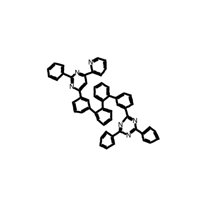 c1ccc(-c2nc(-c3cccc(-c4ccccc4-c4ccccc4-c4cccc(-c5nc(-c6ccccc6)nc(-c6ccccc6)n5)c4)c3)cc(-c3ccccn3)n2)cc1